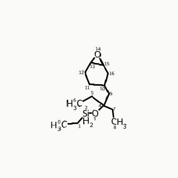 CC[SiH2]OC(CC)(CC)CC1CCC2OC2C1